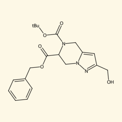 CC(C)(C)OC(=O)N1Cc2cc(CO)nn2CC1C(=O)OCc1ccccc1